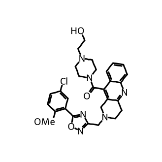 COc1ccc(Cl)cc1-c1nc(CN2CCc3nc4ccccc4c(C(=O)N4CCN(CCO)CC4)c3C2)no1